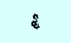 c1cc[n+](Cc2cccc3cccnc23)cc1